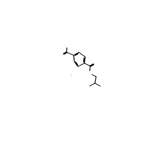 CC(C)COC(=O)c1ccc(C(=O)[O-])cc1.[K+]